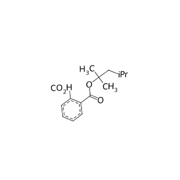 CC(C)CC(C)(C)OC(=O)c1ccccc1C(=O)O